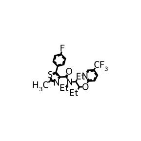 CCC(Oc1ccc(C(F)(F)F)cn1)C(CC)N(CC)C(=O)c1nc(C)sc1-c1ccc(F)cc1